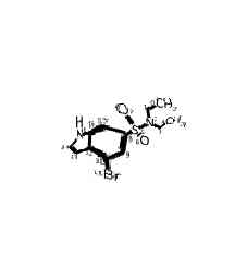 CCN(CC)S(=O)(=O)c1cc(Br)c2cc[nH]c2c1